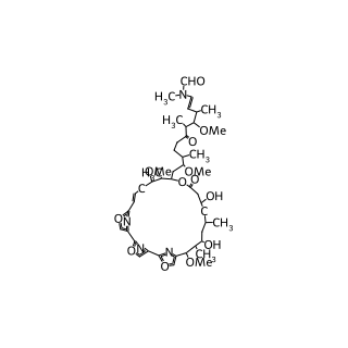 COC(CC1OC(=O)CC(O)CC(C)CC(O)C(C)C(OC)c2coc(n2)-c2coc(n2)-c2coc(n2)/C=C/CC(OC)C1C)C(C)CCC(=O)C(C)C(OC)C(C)/C=C/N(C)C=O